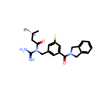 CC(C)[C@H](C)CC(=O)N(Cc1cc(F)cc(C(=O)N2Cc3ccccc3C2)c1)C(=N)N